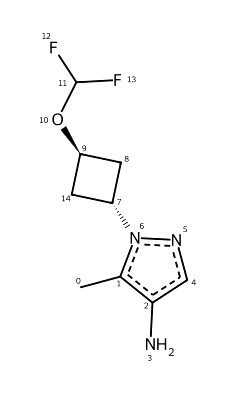 Cc1c(N)cnn1[C@H]1C[C@H](OC(F)F)C1